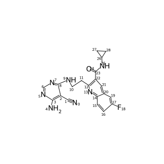 N#Cc1c(N)ncnc1NCCc1nc2ccc(F)cc2cc1C(=O)NC1CC1